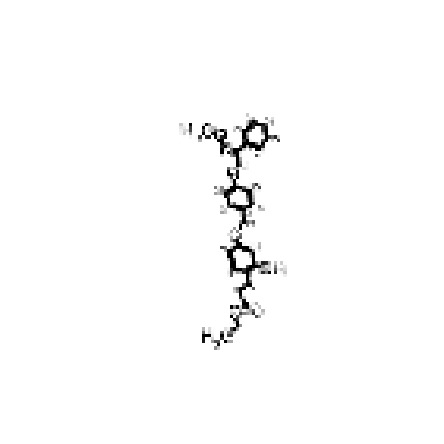 CCOC(=O)CCc1ccc(OCc2ccc(OCC(=NOC)c3ccccc3)cc2)cc1O